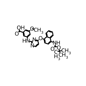 COc1cc(Nc2nccc(Oc3ccc(NC(=O)OC(C)(C)C)c4ccccc34)n2)cc(C(=O)O)c1